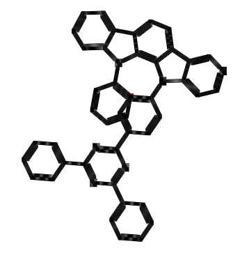 c1ccc(-c2nc(-c3ccccc3)nc(-c3ccc(-n4c5ccncc5c5ccc6c7ccccc7n(-c7ccccc7)c6c54)cc3)n2)cc1